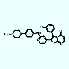 CN1CCN(c2ccc(Nc3nccc(-c4sc5nccc(=O)n5c4-c4cccc(Cl)c4)n3)cc2)CC1